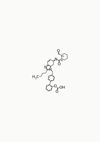 CCCCc1nc2c(n1Cc1ccc(-c3ccccc3OC(=O)O)cc1)CC(=NC(=O)[C@@H]1CCCC[C@@H]1C=O)C=C2